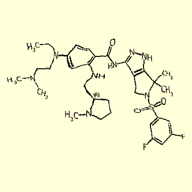 CCN(CCN(C)C)c1ccc(C(=O)Nc2n[nH]c3c2CN(S(=O)(=O)c2cc(F)cc(F)c2)C3(C)C)c(NC[C@H]2CCCN2C)c1